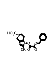 O=C(OCc1ccccc1)C(=O)On1c(C(F)(F)F)nc2c1CCN(C(=O)O)C2